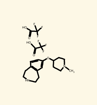 CN1CCC(Oc2ccc3c(c2)CCNCC3)CC1.O=C(O)C(F)(F)F.O=C(O)C(F)(F)F